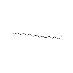 NCCCCCCCCCCCCCCC[SiH](Cl)Cl